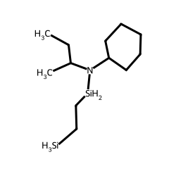 CCC(C)N([SiH2]CC[SiH3])C1CCCCC1